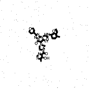 CCc1c(N2CCN(C(=O)c3ncnc(C)c3O)CC2)c(=O)n2nc(C3=CCOCC3)nc2n1CC(=O)Nc1ccc(C)c2ccoc12